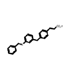 O=C(O)CCc1ccc(Cc2cccc(OCc3ccccc3)c2)cc1